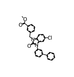 COC(=O)c1cccc(Cn2c(=O)n(-c3cccc(-c4ccccc4)c3)c3cc(Cl)ccc32)c1